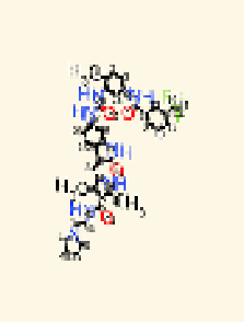 Cc1ccc(NC(=O)c2cccc(C(F)(F)F)c2)cc1NC(=O)Nc1ccc2c(c1)NC(=O)C2=Cc1[nH]c(C)c(C(=O)NCCN2CCCC2)c1C